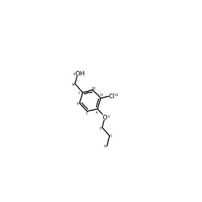 CCCOc1ccc(CO)cc1Cl